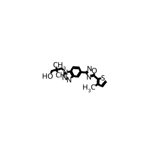 Cc1ccsc1-c1nc(-c2ccc3c(c2)nnn3CC(C)(C)CO)no1